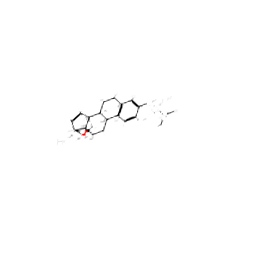 CN(C)S(=O)(=O)Oc1ccc2c(c1)CCC1C2CC[C@@]2(C)[C@]13C=C[C@]2(O)CC3